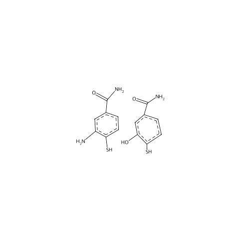 NC(=O)c1ccc(S)c(N)c1.NC(=O)c1ccc(S)c(O)c1